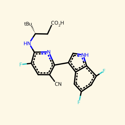 CC(C)(C)[C@H](CC(=O)O)Nc1nc(-c2c[nH]c3c(F)cc(F)cc23)c(C#N)cc1F